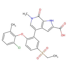 CCS(=O)(=O)c1ccc(Oc2c(C)cccc2Cl)c(-c2cn(C)c(=O)c3[nH]c(C(=O)O)cc23)c1